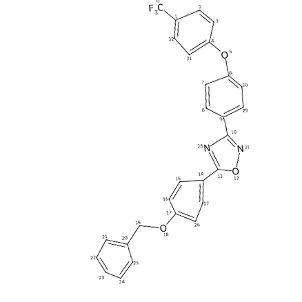 FC(F)(F)c1ccc(Oc2ccc(-c3noc(-c4ccc(OCc5ccccc5)cc4)n3)cc2)cc1